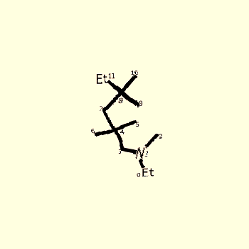 CCN(C)CC(C)(C)CC(C)(C)CC